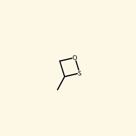 CC1COS1